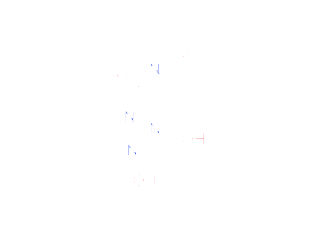 O=C(c1cn2c(O)cc(O)nc2n1)N1CCOCC1